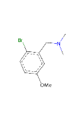 COc1ccc(Br)c(CN(C)C)c1